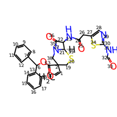 C=CC1(C(=O)OC(c2ccccc2)c2ccccc2)CS[C@@H]2C(NC(=O)Cc3cnc(NC=O)s3)C(=O)N2C1